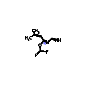 CC(C)=C/C(=N\C=N)OC(F)F